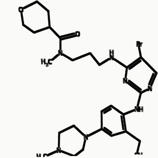 CCc1cc(N2CCN(C)CC2)ccc1Nc1ncc(Br)c(NCCCN(C)C(=O)C2CCOCC2)n1